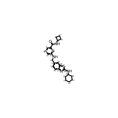 O=C(NC1CCC1)c1cncc(NCc2ccc3nc(NC4CCCCC4)sc3c2)n1